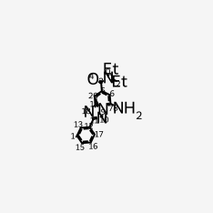 CCN(CC)C(=O)c1cc(N)n2nc(-c3ccccc3)nc2c1